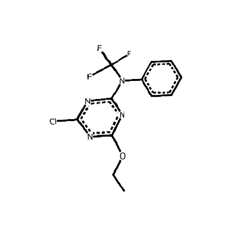 CCOc1nc(Cl)nc(N(c2ccccc2)C(F)(F)F)n1